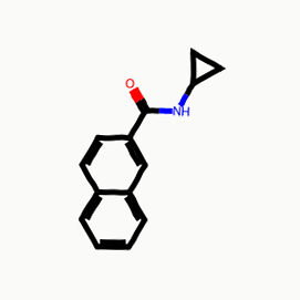 O=C(NC1CC1)c1ccc2ccccc2c1